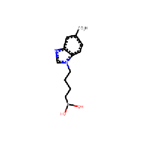 O=C(O)c1ccc2c(c1)ncn2CCCCB(O)O